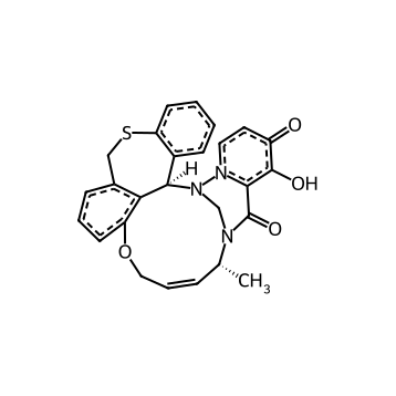 C[C@@H]1/C=C\COc2cccc3c2[C@@H](c2ccccc2SC3)N2CN1C(=O)c1c(O)c(=O)ccn12